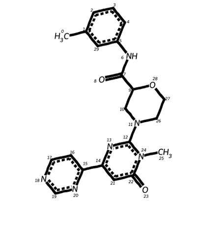 Cc1cccc(NC(=O)C2CN(c3nc(-c4ccncn4)cc(=O)n3C)CCO2)c1